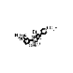 CCc1c2nc(-c3cc(S(C)(=O)=O)ccc3OCC(C)C)[nH]c(=O)c2nn1C1CCN(C(=O)O)CC1